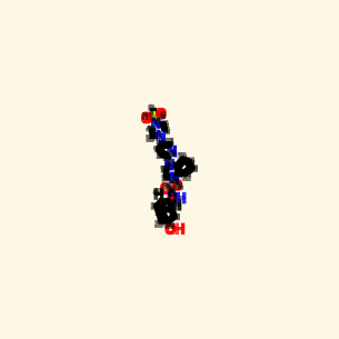 CS(=O)(=O)N1CCN(c2ccc(N3CCN(OC(=O)NC4[C@@H]5CC6C[C@H]4CC(O)(C6)C5)c4ccccc43)nc2)CC1